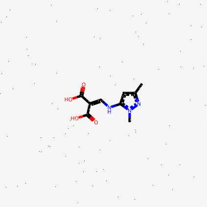 Cc1cc(NC=C(C(=O)O)C(=O)O)n(C)n1